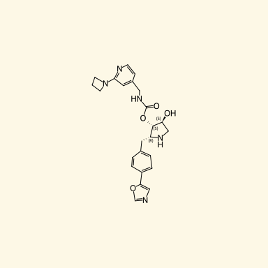 O=C(NCc1ccnc(N2CCC2)c1)O[C@@H]1[C@@H](O)CN[C@@H]1Cc1ccc(-c2cnco2)cc1